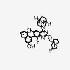 Oc1cc(-c2c(Cl)cc3c(N4CC[C@H]5CC[C@@H](C4)N5)nc(OC[C@]45CCCN4C[C@H](F)C5)nc3c2F)c2ccccc2c1